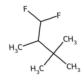 CC(C(F)F)C(C)(C)C